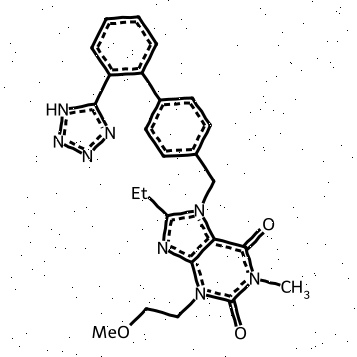 CCc1nc2c(c(=O)n(C)c(=O)n2CCOC)n1Cc1ccc(-c2ccccc2-c2nnn[nH]2)cc1